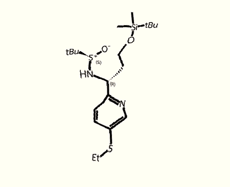 CCSc1ccc([C@@H](CCO[Si](C)(C)C(C)(C)C)N[S@+]([O-])C(C)(C)C)nc1